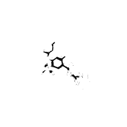 CCCC(C)Oc1cc(C)c(C(=O)N=C(N)N)cc1S(C)(=O)=O